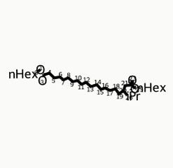 CCCCCCOC(=O)CCCCCCCCCCCCCCCCC(CC(=O)OCCCCCC)C(C)C